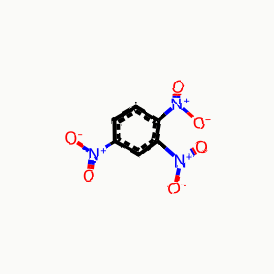 O=[N+]([O-])c1c[c]c([N+](=O)[O-])c([N+](=O)[O-])c1